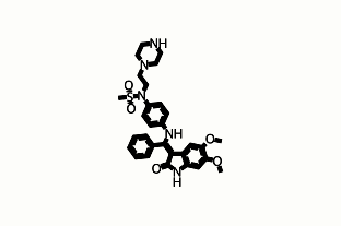 COc1cc2c(cc1OC)C(=C(Nc1ccc(N(CCN3CCNCC3)S(C)(=O)=O)cc1)c1ccccc1)C(=O)N2